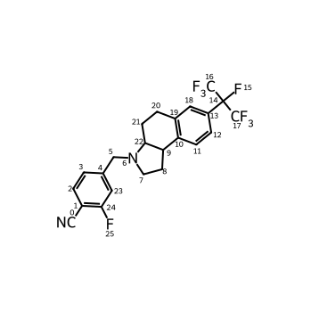 N#Cc1ccc(CN2CCC3c4ccc(C(F)(C(F)(F)F)C(F)(F)F)cc4CCC32)cc1F